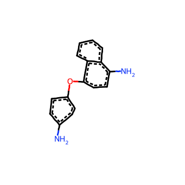 Nc1ccc(Oc2ccc(N)c3ccccc23)cc1